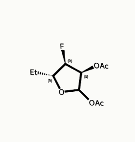 CC[C@H]1OC(OC(C)=O)[C@H](OC(C)=O)[C@@H]1F